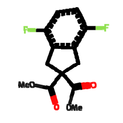 COC(=O)C1(C(=O)OC)Cc2c(F)ccc(F)c2C1